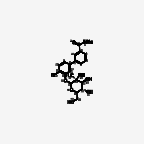 CNC(=O)c1cccc(-c2ccc(Cl)c(OC3O[C@H](CO)[C@@H](O)[C@H](O)[C@]3(C)O)c2)c1